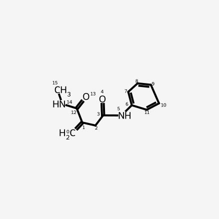 C=C(CC(=O)Nc1ccccc1)C(=O)NC